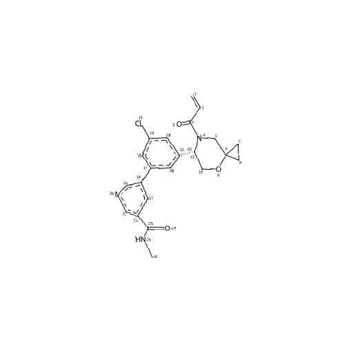 C=CC(=O)N1CC2(CC2)OC[C@@H]1c1cc(Cl)cc(-c2cncc(C(=O)NC)c2)c1